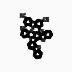 N#Cc1cc(C#N)c2c(c1)c1cc(C#N)cc(C#N)c1n2B1c2ccccc2-n2c3ccc4c5ccccc5oc4c3c3c4oc5ccccc5c4cc1c32